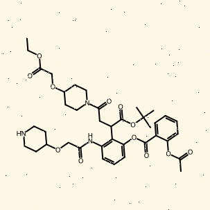 CCOC(=O)COC1CCN(C(=O)CC(C(=O)OC(C)(C)C)c2c(NC(=O)COC3CCNCC3)cccc2OC(=O)c2ccccc2OC(C)=O)CC1